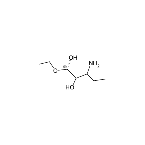 CCO[C@H](O)C(O)C(N)CC